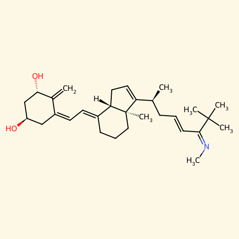 C=C1/C(=C\C=C2/CCC[C@]3(C)C([C@@H](C)C/C=C/C(=N\C)C(C)(C)C)=CC[C@@H]23)C[C@@H](O)C[C@@H]1O